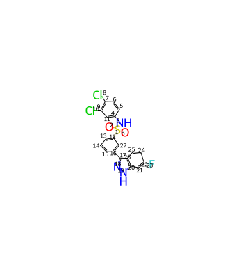 O=S(=O)(Nc1ccc(Cl)c(Cl)c1)c1cccc(-c2n[nH]c3cc(F)ccc23)c1